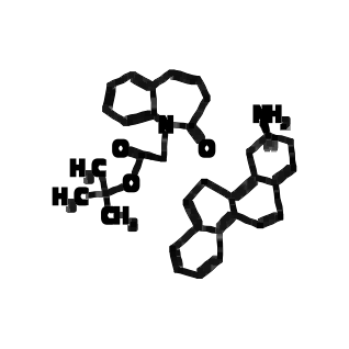 CC(C)(C)OC(=O)CN1C(=O)CC=Cc2ccccc21.N[C@H]1CC=c2ccc3c(c2C1)CC=c1ccccc1=3